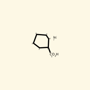 O=C(O)C1CCCCC1.[In]